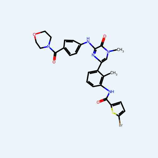 Cc1c(NC(=O)c2ccc(Br)s2)cccc1-c1cn(C)c(=O)c(Nc2ccc(C(=O)N3CCOCC3)cc2)n1